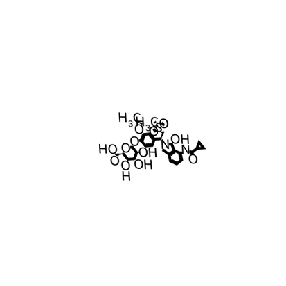 CCOc1cc([C@@H](CS(C)(=O)=O)N2Cc3cccc(NC(=O)C4CC4)c3C2=O)ccc1O[C@@H]1O[C@H](C(=O)O)[C@@H](O)[C@H](O)[C@H]1O